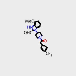 COc1cccc2c1NC(C=O)N2C1CCN(C(=O)Cc2ccc(C(F)(F)F)cc2)CC1